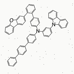 c1ccc(-c2ccc(-c3ccc(N(c4ccc(-c5ccccc5-c5ccc6c(c5)oc5ccccc56)cc4)c4cccc(-n5c6ccccc6c6ccccc65)c4)cc3)cc2)cc1